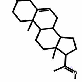 C/N=C(\C)C1CCC2C3CC=C4CC(C)CCC4(C)C3CCC12C